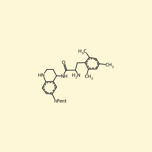 CCCCCc1ccc2c(c1)C(NC(=O)C(N)Cc1c(C)cc(C)cc1C)CCN2